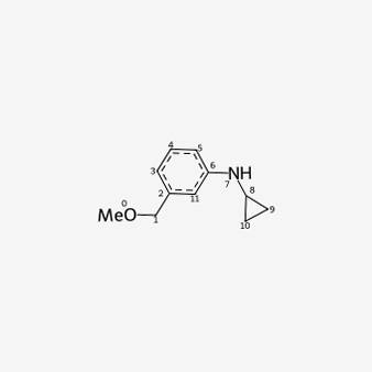 COCc1cccc(NC2CC2)c1